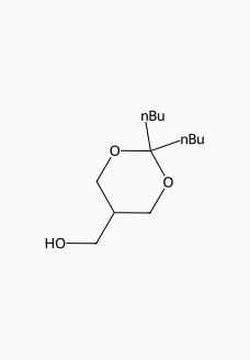 CCCCC1(CCCC)OCC(CO)CO1